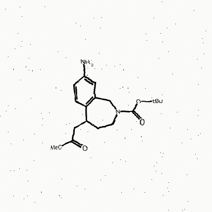 COC(=O)CC1CCN(C(=O)OC(C)(C)C)Cc2cc(N)ccc21